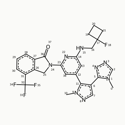 Cn1cnnc1-c1cnn(C)c1-c1cc(NCC2(F)CCC2)nc(N2Cc3c(cccc3C(F)(F)F)C2=O)c1